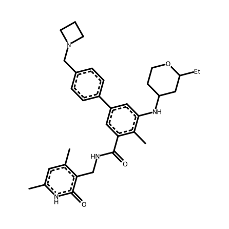 CCC1CC(Nc2cc(-c3ccc(CN4CCC4)cc3)cc(C(=O)NCc3c(C)cc(C)[nH]c3=O)c2C)CCO1